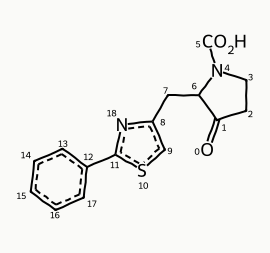 O=C1CCN(C(=O)O)C1Cc1csc(-c2ccccc2)n1